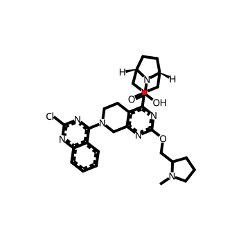 CN1CCCC1COc1nc2c(c(N3C[C@H]4CC[C@@H](C3)N4C(=O)O)n1)CCN(c1nc(Cl)nc3ccccc13)C2